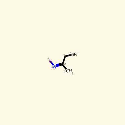 CCCC/C(C)=N\I